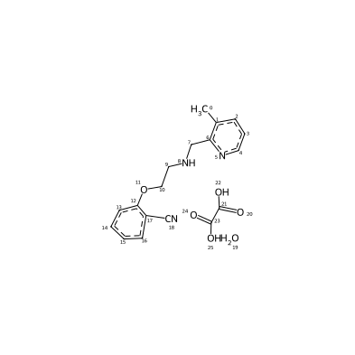 Cc1cccnc1CNCCOc1ccccc1C#N.O.O=C(O)C(=O)O